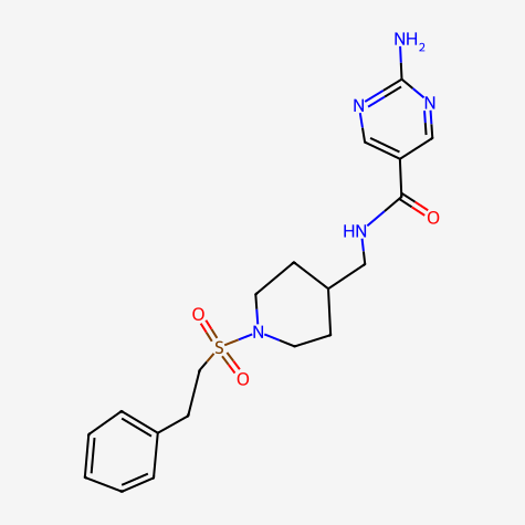 Nc1ncc(C(=O)NCC2CCN(S(=O)(=O)CCc3ccccc3)CC2)cn1